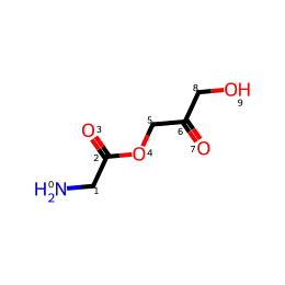 NCC(=O)OCC(=O)CO